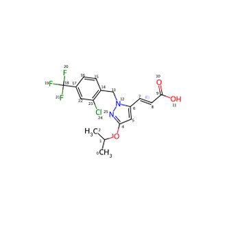 CC(C)Oc1cc(/C=C/C(=O)O)n(Cc2ccc(C(F)(F)F)cc2Cl)n1